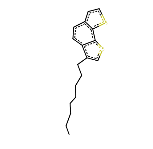 CCCCCCCCc1csc2c1ccc1ccsc12